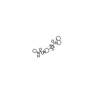 O=C(NC1CCCC1)ON1CCC(c2nc(C(=O)N3CCCC4CCCC=C43)cs2)CC1